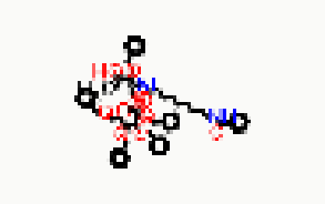 CC[C@@H](O)[C@@H](OCc1ccccc1)[C@H](CO[C@H]1OC(COCc2ccccc2)[C@H](OCc2ccccc2)[C@H](OCc2ccccc2)C1OCc1ccccc1)NC(=O)CCCCCCCCNC(=O)c1ccccc1